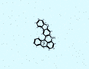 c1ccc2c(c1)C1CCC23c2cc4c(cc2Nc2cccc1c23)oc1ccccc14